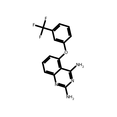 Nc1nc(N)c2c(Oc3cccc(C(F)(F)F)c3)cccc2n1